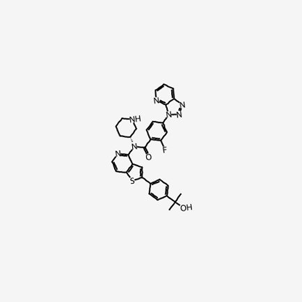 CC(C)(O)c1ccc(-c2cc3c(N(C(=O)c4ccc(-n5nnc6cccnc65)cc4F)[C@@H]4CCCNC4)nccc3s2)cc1